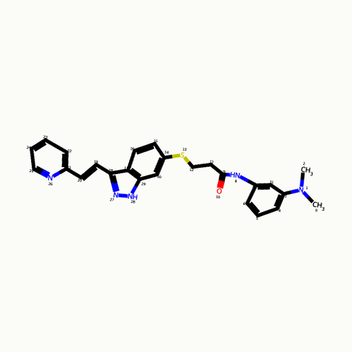 CN(C)c1cccc(NC(=O)CCSc2ccc3c(C=Cc4ccccn4)n[nH]c3c2)c1